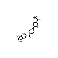 CC(O)c1cnc(N2CCN(C(C)c3ccc4c(c3)OCO4)CC2)nc1